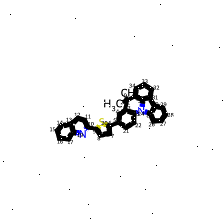 CC1(C)c2cc(-c3ccc(-c4ccc5ccccc5n4)s3)ccc2-n2c3ccccc3c3cccc1c32